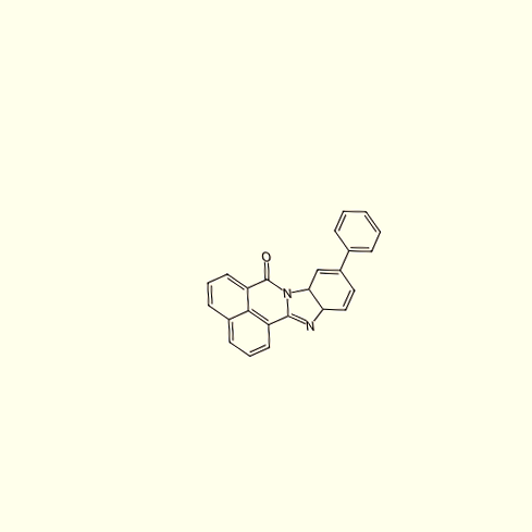 O=c1c2cccc3cccc(c4n1C1C=C(c5ccccc5)C=CC1N=4)c32